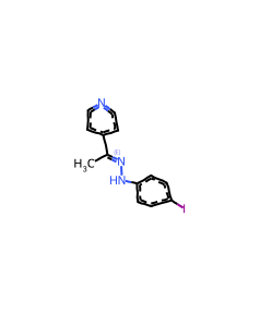 C/C(=N\Nc1ccc(I)cc1)c1ccncc1